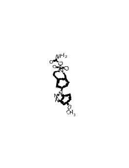 COc1ccc2c(c1)nnn2-c1ccc2c(c1)CCN(S(=O)(=O)OC(N)=O)C2